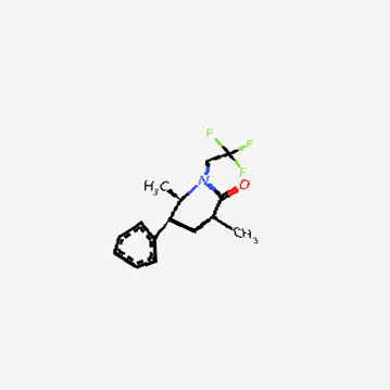 CC1C[C@@H](c2ccccc2)[C@@H](C)N(CC(F)(F)F)C1=O